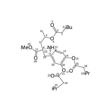 CCC(C)CC(=O)OC(C)C[C@@](N)(Cc1ccc(OC(=O)CC(C)C)c(OC(=O)CC(C)C)c1)C(=O)OC